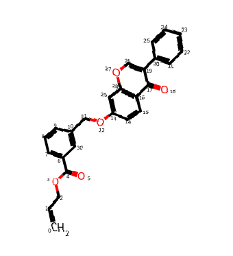 C=CCOC(=O)c1cccc(COc2ccc3c(=O)c(-c4ccccc4)coc3c2)c1